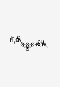 CCN(CC)CCCOc1ccc2c(=O)c3ccc(OCCCN(CC)CC)cc3oc2c1